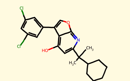 CC(C)(c1cc(O)c2c(-c3cc(Cl)cc(Cl)c3)coc2n1)C1CCCCC1